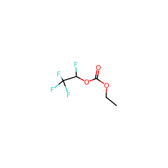 CCOC(=O)OC(F)C(F)(F)F